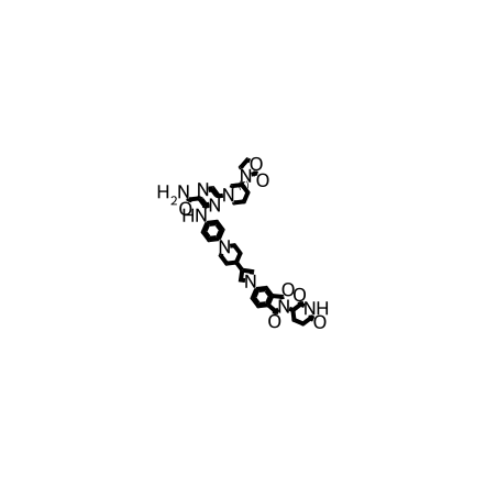 NC(=O)c1ncc(N2CCC[C@H](N3CCOC3=O)C2)nc1Nc1ccc(N2CCC(C3CN(c4ccc5c(c4)C(=O)N(C4CCC(=O)NC4=O)C5=O)C3)CC2)cc1